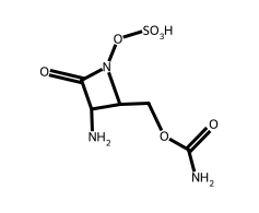 NC(=O)OCC1C(N)C(=O)N1OS(=O)(=O)O